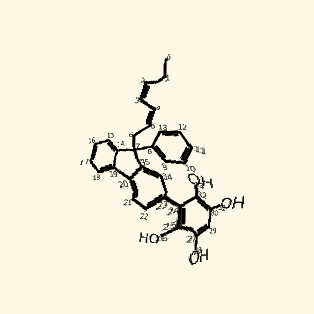 CC/C=C\C=C/CC1(c2ccccc2)c2ccccc2-c2ccc(-c3c(O)c(O)cc(O)c3O)cc21